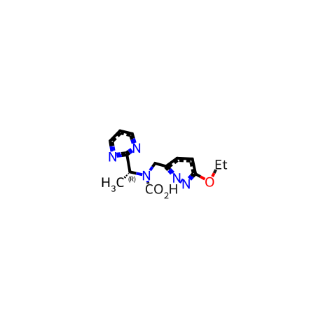 CCOc1ccc(CN(C(=O)O)[C@H](C)c2ncccn2)nn1